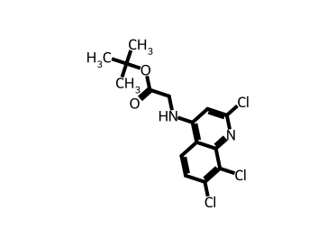 CC(C)(C)OC(=O)CNc1cc(Cl)nc2c(Cl)c(Cl)ccc12